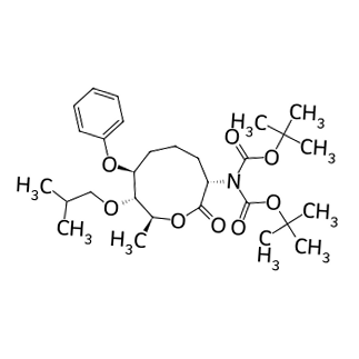 CC(C)CO[C@H]1[C@H](C)OC(=O)[C@@H](N(C(=O)OC(C)(C)C)C(=O)OC(C)(C)C)CCC[C@@H]1Oc1ccccc1